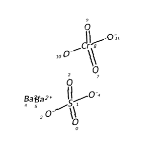 O=S(=O)([O-])[O-].[Ba+2].[Ba+2].[O]=[Cr](=[O])([O-])[O-]